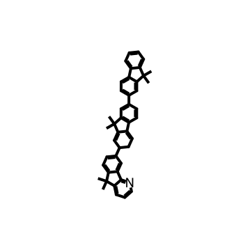 CC1(C)C2=CC(c3ccc4c(c3)-c3ncccc3C4(C)C)CC=C2c2ccc(-c3ccc4c(c3)C(C)(C)c3ccccc3-4)cc21